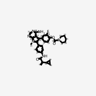 C=C(C(=O)Nc1ccc(-c2c(-c3ccc(OC(=O)N4CCCCC4)c(F)c3)c3c(N)ncnc3n2C)cc1)C1CC1